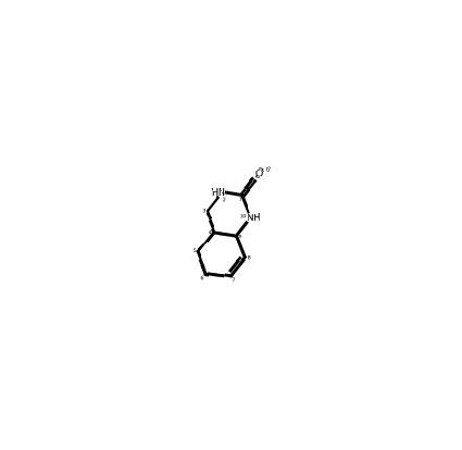 O=C1NCC2CCC=CC2N1